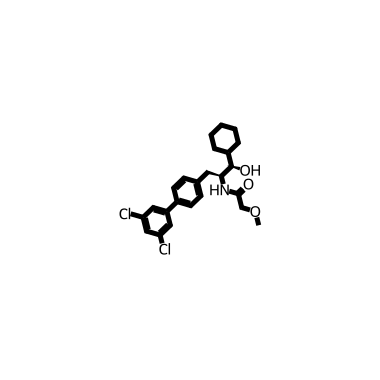 COCC(=O)N[C@@H](Cc1ccc(-c2cc(Cl)cc(Cl)c2)cc1)[C@H](O)C1CCCCC1